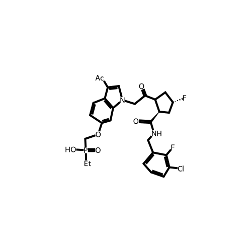 CCP(=O)(O)COc1ccc2c(C(C)=O)cn(CC(=O)C3C[C@H](F)C[C@H]3C(=O)NCc3cccc(Cl)c3F)c2c1